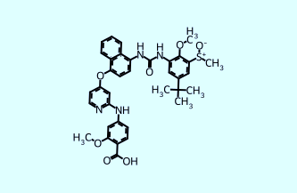 COc1cc(Nc2cc(Oc3ccc(NC(=O)Nc4cc(C(C)(C)C)cc([S+](C)[O-])c4OC)c4ccccc34)ccn2)ccc1C(=O)O